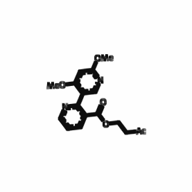 COc1cc(OC)c(-c2ncccc2C(=O)OCCC(C)=O)cn1